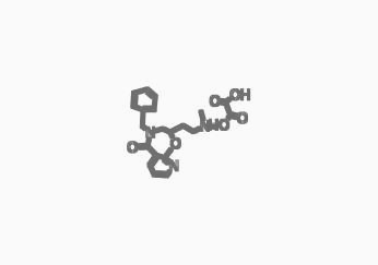 CN(C)CCC1CN(Cc2ccccc2)C(=O)c2cccnc2O1.O=C(O)C(=O)O